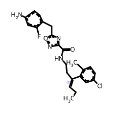 CC/C=C(/CCNC(=O)c1noc(Cc2ccc(N)cc2F)n1)c1cc(Cl)ccc1C